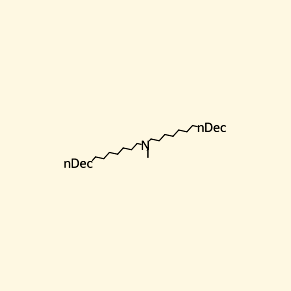 CCCCCCCCCCCCCCCCCN(I)CCCCCCCCCCCCCCCCC